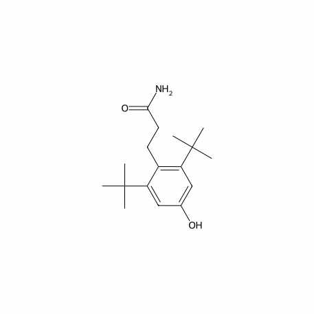 CC(C)(C)c1cc(O)cc(C(C)(C)C)c1CCC(N)=O